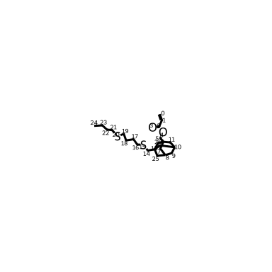 C=CC(=O)OCC12CC3CC(C1)CC(CSCCCCSCCCC)(C3)C2